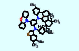 Cc1cc2scc(N(c3ccc(C(C)(C)C)cc3)c3cc(N(c4ccc5c(c4)C(C)(C)CCC5(C)C)c4ccc(C(C)(C)C)cc4-c4ccccc4)cc(N4c5ccccc5Oc5ccccc54)c3)c2cc1C(C)(C)C